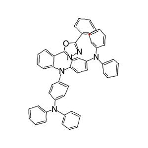 c1ccc(-c2nnc(-c3ccccc3N(c3ccc(N(c4ccccc4)c4ccccc4)cc3)c3ccc(N(c4ccccc4)c4ccccc4)cc3)o2)cc1